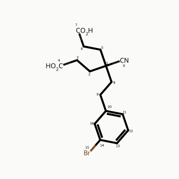 N#CC(CCC(=O)O)(CCC(=O)O)CCc1cccc(Br)c1